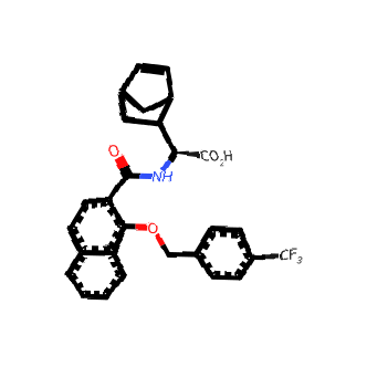 O=C(N[C@H](C(=O)O)C1CC2C=CC1C2)c1ccc2ccccc2c1OCc1ccc(C(F)(F)F)cc1